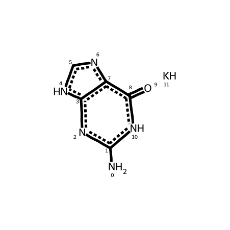 Nc1nc2[nH]cnc2c(=O)[nH]1.[KH]